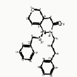 O=C1CC2COCC=C2N(SCc2ccccc2)N1CCCc1ccccc1